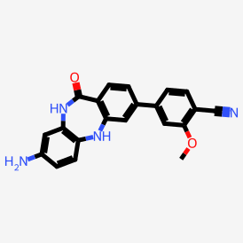 COc1cc(-c2ccc3c(c2)Nc2ccc(N)cc2NC3=O)ccc1C#N